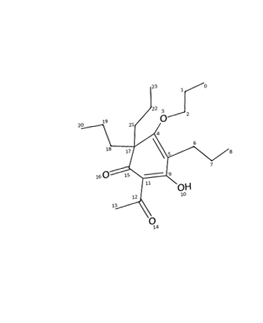 CCCOC1=C(CCC)C(O)=C(C(C)=O)C(=O)C1(CCC)CCC